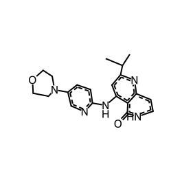 CC(C)c1cc(Nc2ccc(N3CCOCC3)cn2)c2c(=O)[nH]ccc2n1